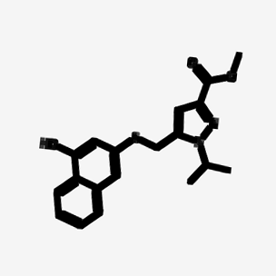 COC(=O)c1cc(CSc2cc(O)c3ccccc3c2)n(C(C)C)n1